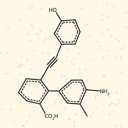 Cc1cc(-c2c(C#Cc3cccc(O)c3)cccc2C(=O)O)ccc1N